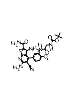 COc1ccc(-c2c(C#N)c(N)nc3sc(C(N)=O)c(N)c23)cc1NC(=O)CNC(=O)OC(C)(C)C